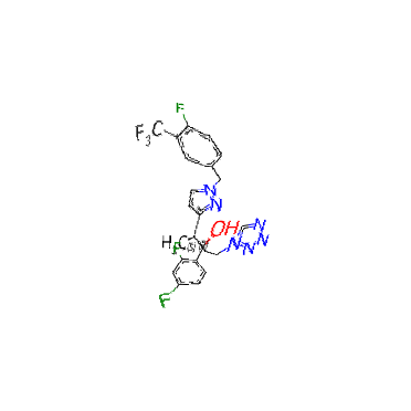 C[C@@H](c1ccn(Cc2ccc(F)c(C(F)(F)F)c2)n1)[C@](O)(Cn1cnnn1)c1ccc(F)cc1F